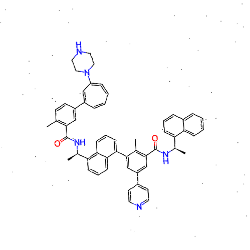 Cc1ccc(C2=CC(N3CCNCC3)=C=CC=C2)cc1C(=O)N[C@H](C)c1cccc2c(-c3cc(-c4ccncc4)cc(C(=O)N[C@H](C)c4cccc5ccccc45)c3C)cccc12